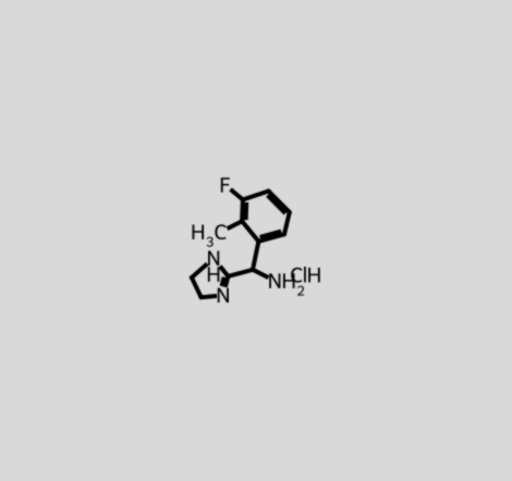 Cc1c(F)cccc1C(N)C1=NCCN1.Cl